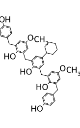 COc1cc(Cc2ccc(O)cc2)c(O)c(Cc2cc(C3CCCCC3)cc(Cc3cc(OC)cc(Cc4ccc(O)cc4)c3O)c2O)c1